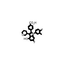 Cc1cc(-n2c(-c3ccc(C(=O)O)cc3)c(C3CCCOC3)c3c(O)cc(F)cc32)ccc1F